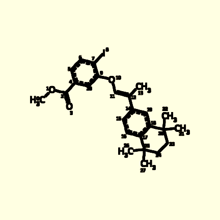 COC(=O)c1ccc(I)c(OC=C(C)c2ccc3c(c2)C(C)(C)CCC3(C)C)c1